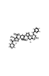 CC[C@H](C)[C@@H]([C@@H](CC(=O)N1CCC[C@H]1[C@H](OC)[C@@H](C)C(=O)N[C@H](CO)Cc1ccccc1)OC)N(C)C(=O)[C@@H](NC(=O)N1CCOC[C@H]1C)C(C)C